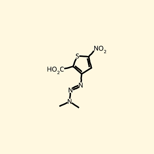 CN(C)N=Nc1cc([N+](=O)[O-])sc1C(=O)O